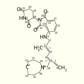 C=C/C(=C\C=C(/C)CNc1cccc2c1C(=O)N(C1CCC(=O)NC1=O)C2=O)CN1CCCCCCC1